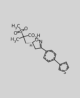 CC(C[C@H]1CC(c2ccc(-c3ccsc3)cc2)=NO1)(C(=O)O)S(C)(=O)=O